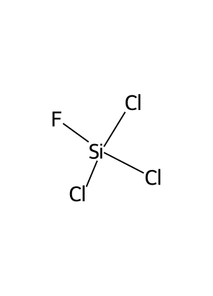 F[Si](Cl)(Cl)Cl